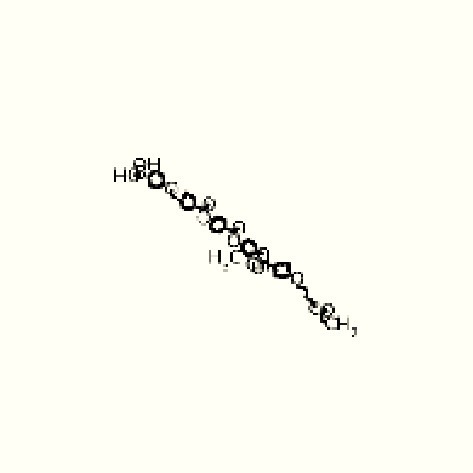 C=CC(=O)OCCCCOc1ccc(C(=O)Oc2ccc(OC(=O)c3ccc(OC(=O)c4ccc(COc5ccc(B(O)O)cc5)cc4)cc3)c(C)c2C)cc1